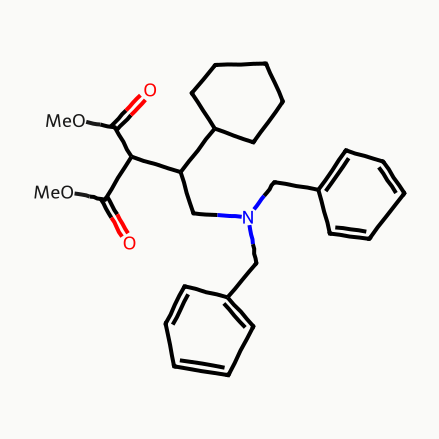 COC(=O)C(C(=O)OC)C(CN(Cc1ccccc1)Cc1ccccc1)C1CCCCC1